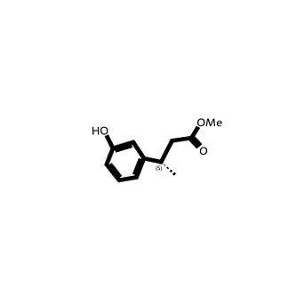 COC(=O)C[C@H](C)c1cccc(O)c1